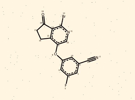 N#Cc1cc(F)cc(Oc2cnc(Br)c3c2CCC3=O)c1